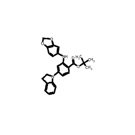 CC(C)(C)OC(=O)c1ccc(N2CCc3ccccc32)cc1Nc1ccc2c(c1)OCO2